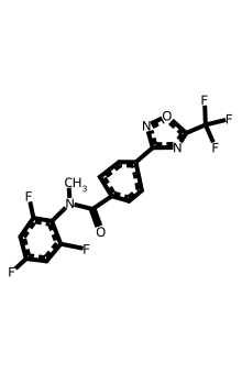 CN(C(=O)c1ccc(-c2noc(C(F)(F)F)n2)cc1)c1c(F)cc(F)cc1F